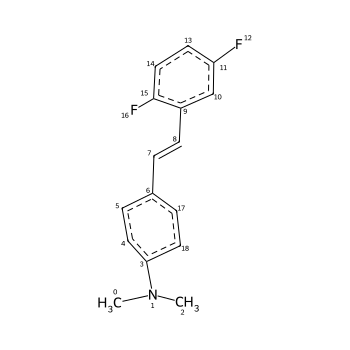 CN(C)c1ccc(C=Cc2cc(F)ccc2F)cc1